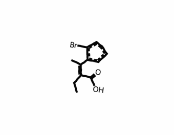 CCC(C(=O)O)=C(C)c1ccccc1Br